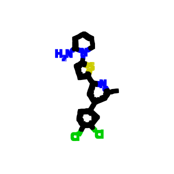 Cc1cc(-c2ccc(Cl)c(Cl)c2)cc(-c2ccc(N3CC=CC=C3N)s2)n1